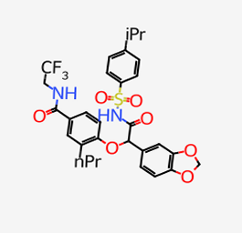 CCCc1cc(C(=O)NCC(F)(F)F)ccc1OC(C(=O)NS(=O)(=O)c1ccc(C(C)C)cc1)c1ccc2c(c1)OCO2